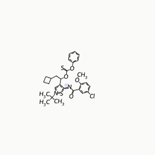 COc1ccc(Cl)cc1C(=O)/N=c1\sn(C(C)(C)C)cc1C(CC1CCC1)OC(=S)Oc1ccccc1